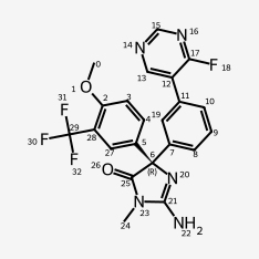 COc1ccc([C@@]2(c3cccc(-c4cncnc4F)c3)N=C(N)N(C)C2=O)cc1C(F)(F)F